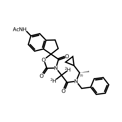 [2H]C([2H])(C(=O)N(Cc1ccccc1)[C@@H](C)C1CC1)N1C(=O)OC2(CCc3cc(NC(C)=O)ccc32)C1=O